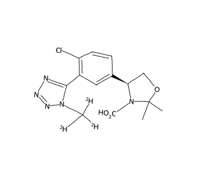 [2H]C([2H])([2H])n1nnnc1-c1cc([C@H]2COC(C)(C)N2C(=O)O)ccc1Cl